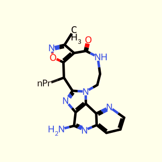 CCCC1c2onc(C)c2C(=O)NCCn2c1nc1c(N)nc3cccnc3c12